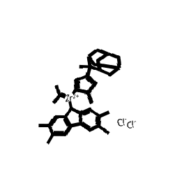 C[C](C)=[Zr+2]([C]1=CC(C2(C)C3CC4CC(C3)CC2C4)=CC1C)[CH]1c2cc(C)c(C)cc2-c2cc(C)c(C)cc21.[Cl-].[Cl-]